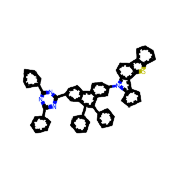 c1ccc(-c2nc(-c3ccccc3)nc(-c3ccc4c(c3)c(-c3ccccc3)c(-c3ccccc3)c3cc(-n5c6ccccc6c6c7sc8ccccc8c7ccc65)ccc34)n2)cc1